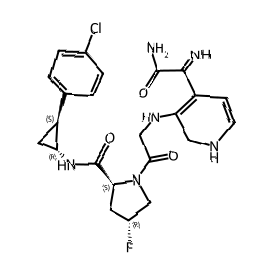 N=C(C(N)=O)C1=C(NCC(=O)N2C[C@H](F)C[C@H]2C(=O)N[C@@H]2C[C@H]2c2ccc(Cl)cc2)CNC=C1